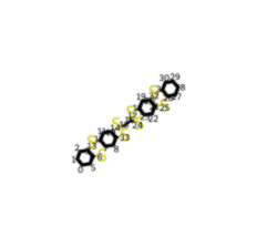 c1ccc2c(c1)Sc1cc3c(cc1S2)SC(C1Sc2cc4c(cc2S1)Sc1ccccc1S4)S3